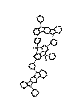 O=P1(c2ccccc2)c2cc(-c3cccc(-n4c5ccccc5c5cc6c(cc54)c4ccccc4n6-c4ccccc4)c3)cc3c2-c2c1cc(-c1cccc(-n4c5ccccc5c5cc6c(cc54)c4ccccc4n6-c4ccccc4)c1)cc2P3(=O)c1ccccc1